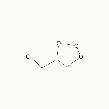 ClCC1COOO1